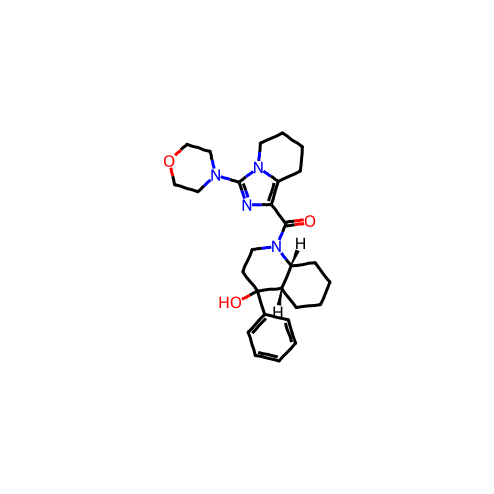 O=C(c1nc(N2CCOCC2)n2c1CCCC2)N1CCC(O)(c2ccccc2)[C@H]2CCCC[C@H]21